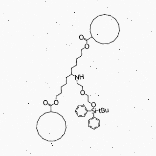 CC(C)(C)[Si](OCCOCCNC(CCCCCOC(=O)C1CCCCCCCCCCCCCC1)CCCCCOC(=O)C1CCCCCCCCCCCCCC1)(c1ccccc1)c1ccccc1